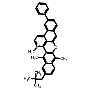 Cc1c2c(c(C)c3cc(CC(C)(C)C)ccc13)-c1c3c(cc4ccc(-c5ccccc5)cc4c3cc[n+]1C)O2